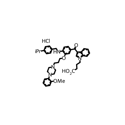 COc1ccccc1N1CCN(CCCOc2cc(C(=O)c3cn(CCCC(=O)O)c4ccccc34)ccc2NCc2ccc(C(C)C)cc2)CC1.Cl